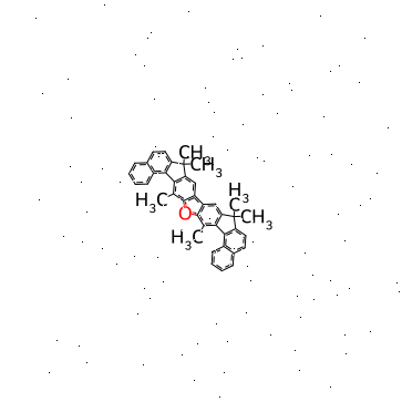 Cc1c2c(cc3c1oc1c(C)c4c(cc13)C(C)(C)c1ccc3ccccc3c1-4)C(C)(C)c1ccc3ccccc3c1-2